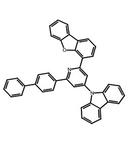 c1ccc(-c2ccc(-c3cc(-n4c5ccccc5c5ccccc54)cc(-c4cccc5c4oc4ccccc45)n3)cc2)cc1